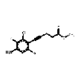 COC(=O)CCC#Cc1c(Br)cc(N)c(F)c1Cl